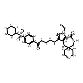 CCn1nc(CCCCC(=O)c2ccc(S(=O)(=O)C3CCCCC3)cc2)c2c1C(=O)NCC1(CCOCC1)C2